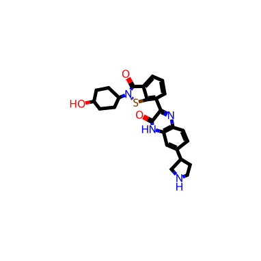 O=c1[nH]c2cc(C3CCNC3)ccc2nc1-c1cccc2c(=O)n(C3CCC(O)CC3)sc12